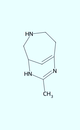 CC1=NC2=CC(CNCC2)N1